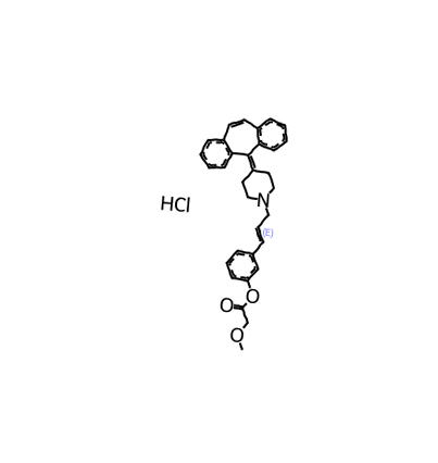 COCC(=O)Oc1cccc(/C=C/CN2CCC(=C3c4ccccc4C=Cc4ccccc43)CC2)c1.Cl